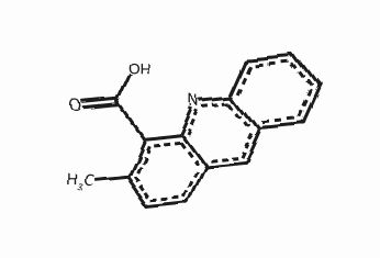 Cc1ccc2cc3ccccc3nc2c1C(=O)O